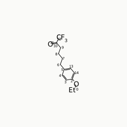 CCOc1ccc(CCCCC(=O)C(F)(F)F)cc1